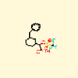 O=C(O)C(OS(=O)(=O)C(F)(F)F)C1CCCC(Cc2ccccc2)C1